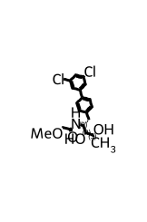 COCC(=O)N[C@H](Cc1ccc(-c2cc(Cl)cc(Cl)c2)cc1)[C@@H](O)[C@H](C)O